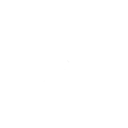 O=C(OCCC(O)(CN(C(=O)CCl)c1ccccc1)c1ccc(F)c(F)c1)c1ccccc1